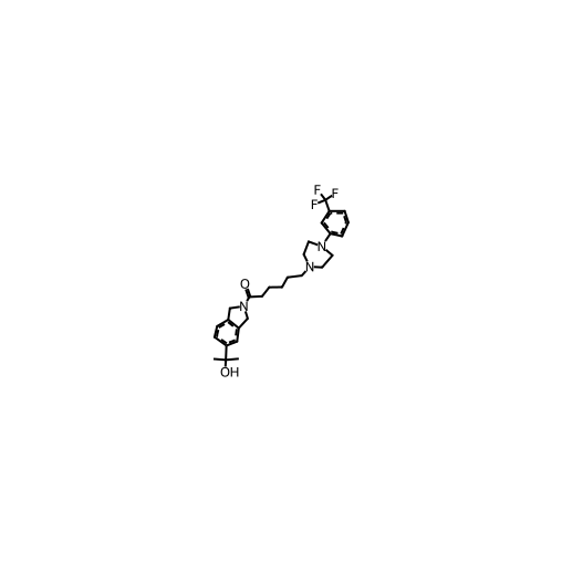 CC(C)(O)c1ccc2c(c1)CN(C(=O)CCCCCN1CCN(c3cccc(C(F)(F)F)c3)CC1)C2